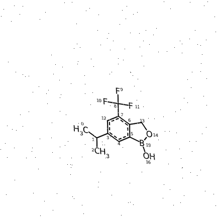 CC(C)c1cc2c(c(C(F)(F)F)c1)COB2O